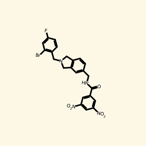 O=C(NCc1ccc2c(c1)CN(Cc1ccc(F)cc1Br)C2)c1cc([N+](=O)[O-])cc([N+](=O)[O-])c1